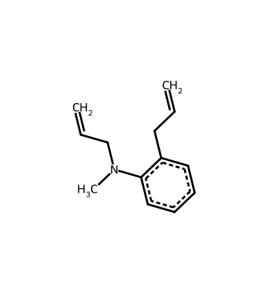 C=CCc1ccccc1N(C)CC=C